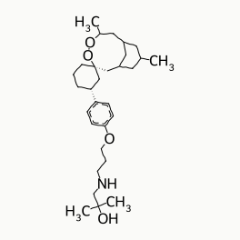 CC1CC2CC(C1)C[C@]1(CCC[C@@H](c3ccc(OCCCNCC(C)(C)O)cc3)C1)OOC(C)C2